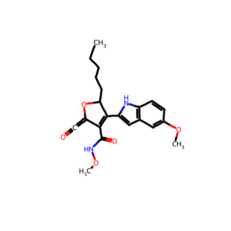 CCCCCC1OC(=C=O)C(C(=O)NOC)=C1c1cc2cc(OC)ccc2[nH]1